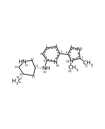 Cc1ncc(-c2cccc(N[C@H]3CNC[C@@H](C)C3)n2)n1C